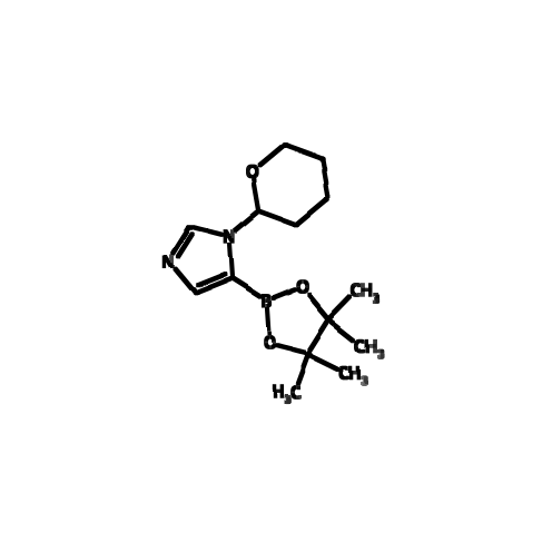 CC1(C)OB(c2cncn2C2CCCCO2)OC1(C)C